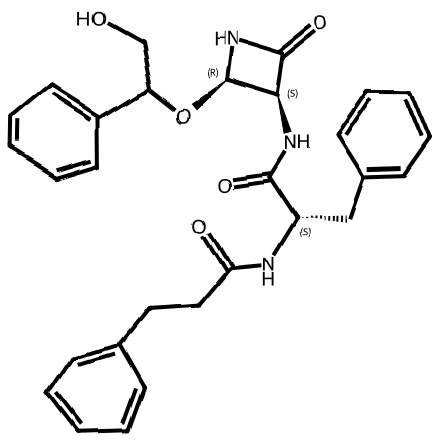 O=C(CCc1ccccc1)N[C@@H](Cc1ccccc1)C(=O)N[C@@H]1C(=O)N[C@@H]1OC(CO)c1ccccc1